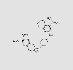 COc1cc(CN(C[C@H]2CC[C@@H](Nc3nc4c(c(N(C)C)n3)CCCC4)CC2)C(=O)O)c([N+](=O)[O-])cc1OC